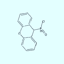 O=[PH](Cl)C1c2ccccc2Oc2ccccc21